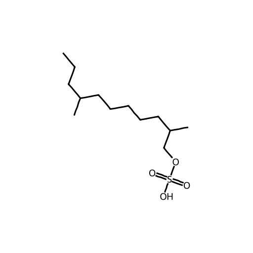 CCCC(C)CCCCCC(C)COS(=O)(=O)O